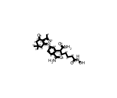 Cc1nn(-c2ccc(C(N)=O)c(C(CCCCC(=O)NO)C(N)=O)c2)c2c1C(=O)CC(C)(C)C2